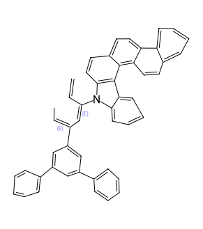 C=C/C(=C\C(=C/C)c1cc(-c2ccccc2)cc(-c2ccccc2)c1)n1c2ccccc2c2c3c(ccc4c5ccccc5ccc43)ccc21